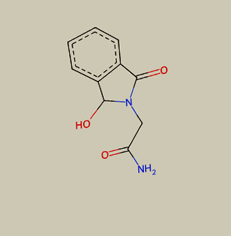 NC(=O)CN1C(=O)c2ccccc2C1O